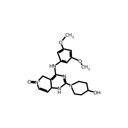 COc1cc(NC2=C3C[N+](=O)C=CC3NC(N3CCC(O)CC3)=N2)cc(OC)c1